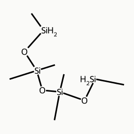 C[SiH2]O[Si](C)(C)O[Si](C)(C)O[SiH2]C